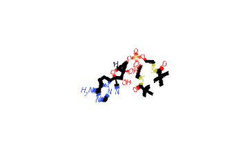 CC(C)(C)C(=O)SCCOP(=O)(OCCSC(=O)C(C)(C)C)OC1[C@H]2O[C@@](C#N)(C3CC=C4C(N)=NC=NN43)[C@H](O)[C@@]12O